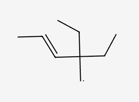 [CH2]C(C=CC)(CC)CC